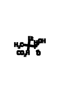 CCC(C)(C(=O)O)[PH](=O)O